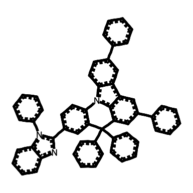 c1ccc(-c2ccc3c(c2)c2cc(-c4ccccc4)cc4c2n3-c2ccc(-c3nc5ccccc5n3-c3ccccc3)cc2C4(c2ccccc2)c2ccccc2)cc1